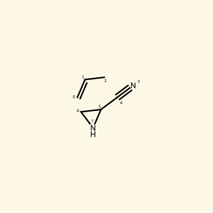 C=CC.N#CC1CN1